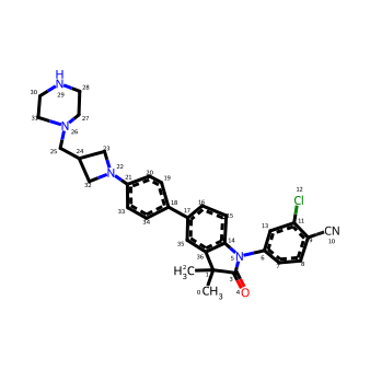 CC1(C)C(=O)N(c2ccc(C#N)c(Cl)c2)c2ccc(-c3ccc(N4CC(CN5CCNCC5)C4)cc3)cc21